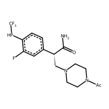 CC(=O)N1CCN(C[C@@H](C(N)=O)c2ccc(PC(F)(F)F)c(F)c2)CC1